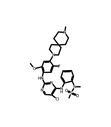 COc1cc(N2CCC3(CCN(C)CC3)CC2)c(F)cc1Nc1ncc(Cl)c(Nc2ccccc2N(C)S(C)(=O)=O)n1